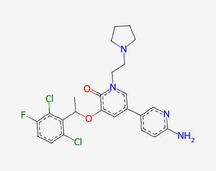 CC(Oc1cc(-c2ccc(N)nc2)cn(CCN2CCCC2)c1=O)c1c(Cl)ccc(F)c1Cl